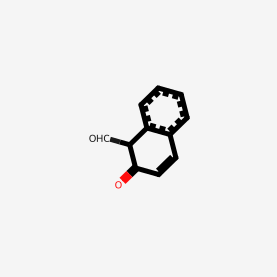 O=CC1C(=O)C=Cc2ccccc21